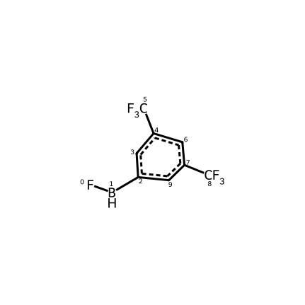 FBc1cc(C(F)(F)F)cc(C(F)(F)F)c1